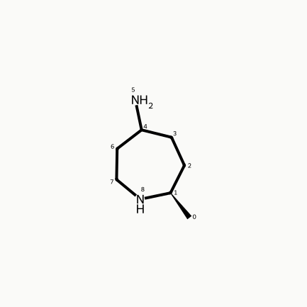 C[C@@H]1CCC(N)CCN1